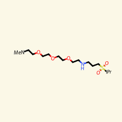 CNCCOCCOCCOCCNCCCS(=O)(=O)C(C)C